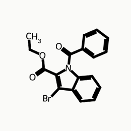 CCOC(=O)c1c(Br)c2ccccc2n1C(=O)c1ccccc1